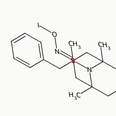 CB(Cc1ccccc1)N1C2(C)CCCC1(C)CC(=NOI)C2